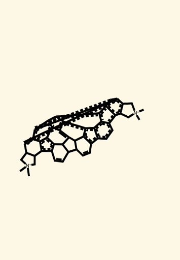 C[N+]1(C)Cc2c(c3c4ccc5c6c7c8c9c%10c%11c%12c%13c(c%14c%12c%12c(c2c2c%12c%11c9c(c4c58)c32)C2C[N+](C)(C)CC%142)C=CC2C%13C=%10C7C2C=C6)C1